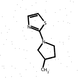 [CH2]C1CCN(c2nccs2)C1